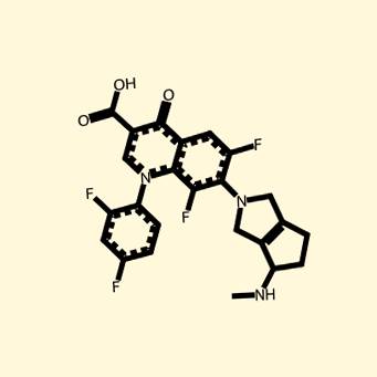 CNC1CCC2=C1CN(c1c(F)cc3c(=O)c(C(=O)O)cn(-c4ccc(F)cc4F)c3c1F)C2